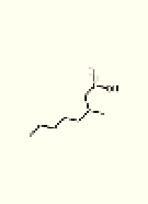 CCCCCC(C)C[PH](=O)O